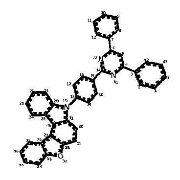 c1ccc(-c2cc(-c3ccccc3)nc(-c3ccc(-n4c5ccccc5c5c6c(ccc54)oc4ccccc46)cc3)n2)cc1